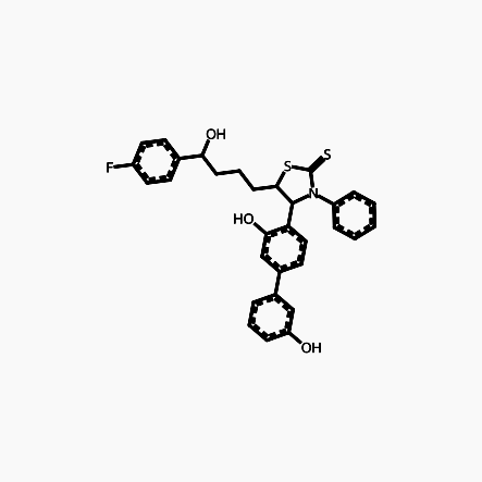 Oc1cccc(-c2ccc(C3C(CCCC(O)c4ccc(F)cc4)SC(=S)N3c3ccccc3)c(O)c2)c1